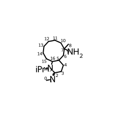 C/N=C1/CCC2CC(C)(N)CCCCCCC2N1C(C)C